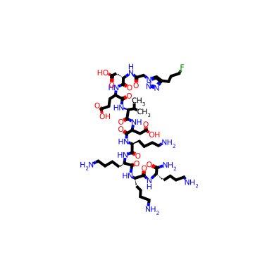 CC(C)[C@H](NC(=O)C(CCC(=O)O)NC(=O)[C@H](CC(=O)O)NC(=O)Cn1cc(CCCF)nn1)C(=O)NC(CC(=O)O)C(=O)N[C@@H](CCCCN)C(=O)N[C@@H](CCCCN)C(=O)N[C@@H](CCCCN)C(=O)N[C@@H](CCCCN)C(N)=O